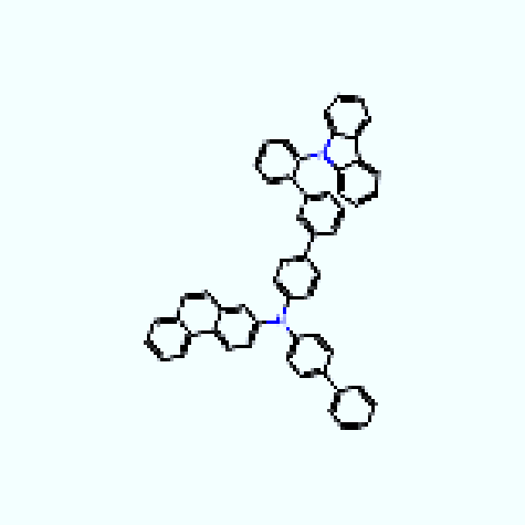 c1ccc(-c2ccc(N(c3ccc(-c4cccc(-c5ccccc5-n5c6ccccc6c6ccccc65)c4)cc3)c3ccc4c(ccc5ccccc54)c3)cc2)cc1